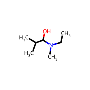 CCN(C)C(O)C(C)C